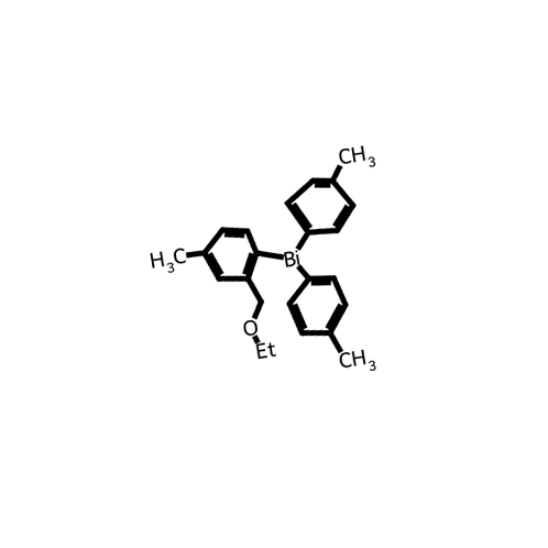 CCOCc1cc(C)cc[c]1[Bi]([c]1ccc(C)cc1)[c]1ccc(C)cc1